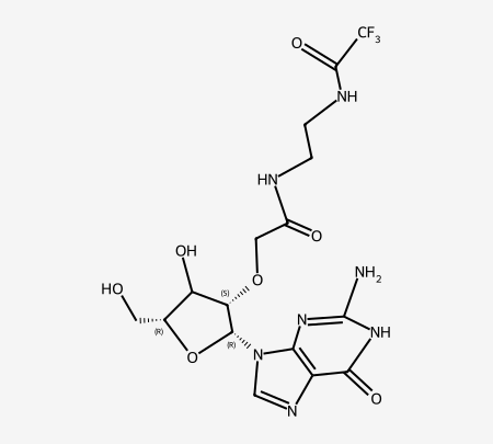 Nc1nc2c(ncn2[C@@H]2O[C@H](CO)C(O)[C@@H]2OCC(=O)NCCNC(=O)C(F)(F)F)c(=O)[nH]1